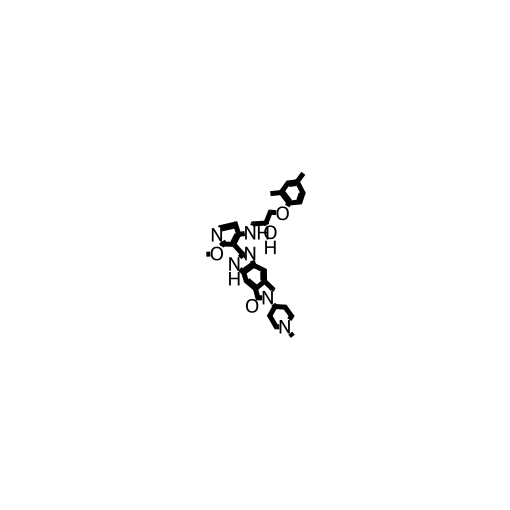 COc1nccc(NCC(O)COc2ccc(C)cc2C)c1-c1nc2cc3c(cc2[nH]1)C(=O)N(C1CCN(C)CC1)C3